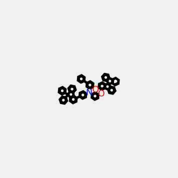 C1=CC2=C(CC1)c1ccccc1C21c2ccccc2-c2c1ccc1c2Oc2cccc(N(c3ccc(-c4cccc5c4-c4ccccc4C5(c4ccccc4)c4ccccc4)cc3)c3cccc(-c4ccccc4)c3)c2O1